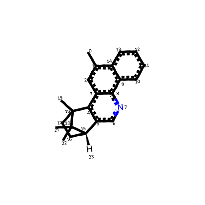 Cc1cc2c3c(cnc2c2ccccc12)[C@@H]1CCC3(C)C1(C)C